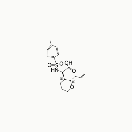 C=CC[C@@H]1OCCC[C@H]1C(NS(=O)(=O)c1ccc(C)cc1)C(=O)O